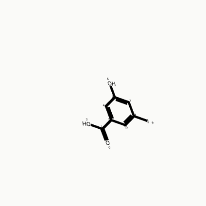 O=C(O)c1cc(O)cc(I)c1